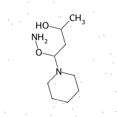 CC(O)CC(ON)N1CCCCC1